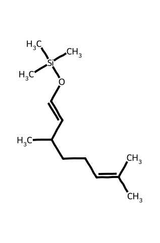 CC(C)=CCCC(C)C=CO[Si](C)(C)C